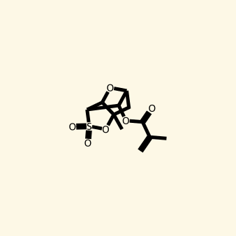 C=C(C)C(=O)OC1C2CC3(C)OS(=O)(=O)C1C3O2